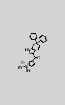 CC(C)[Si](C(C)C)(C(C)C)n1ccc(C(=O)c2n[nH]c3c2C=CC(c2ccccc2)(c2ccccc2)C3)c1